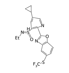 CC/N=[SH](=O)/c1cc(C2CC2)cnc1-c1nc2cc(SC(F)(F)F)ccc2o1